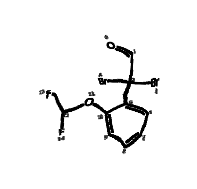 O=CC(Br)(Br)c1ccccc1OC(F)F